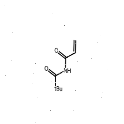 C=CC(=O)NC(=O)C(C)(C)C